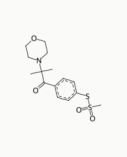 CC(C)(C(=O)c1ccc(SS(C)(=O)=O)cc1)N1CCOCC1